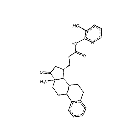 C[C@]12CCC3c4ccccc4CCC3C1[C@H](CCC(=O)Nc1ncccc1O)CC2=O